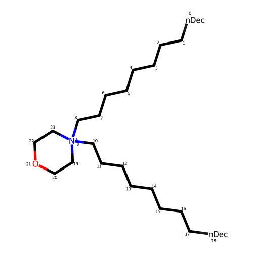 CCCCCCCCCCCCCCCCCC[N+]1(CCCCCCCCCCCCCCCCCC)CCOCC1